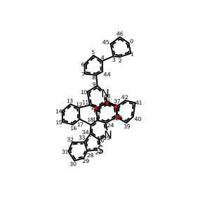 c1ccc(-c2cccc(-c3cc(-c4ccccc4-c4c5ccccc5nc5sc6ccccc6c45)nc(-c4ccccc4)n3)c2)cc1